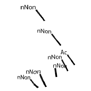 CC(C)=O.CCCCCCCCCC.CCCCCCCCCC.CCCCCCCCCC.CCCCCCCCCC.CCCCCCCCCC.CCCCCCCCCC